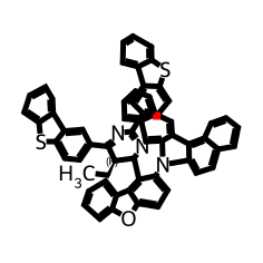 CC[C@H]1C(c2ccc3sc4ccccc4c3c2)=NC(c2ccc3sc4ccccc4c3c2)=NC1c1c(-n2c3cc4ccccc4cc3c3c4ccccc4ccc32)ccc2oc3ccccc3c12